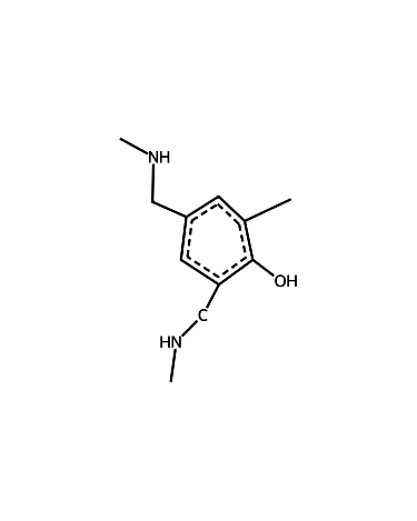 CNCc1cc(C)c(O)c(CNC)c1